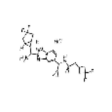 Cl.N[C@H](c1nc2cc([C@H](NC(=O)CC3CC(F)(F)C3)C3CC3)ccc2[nH]1)C1[C@H]2CC(F)(F)C[C@@H]12